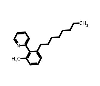 CCCCCCCCc1cccc(C)c1-c1ccccn1